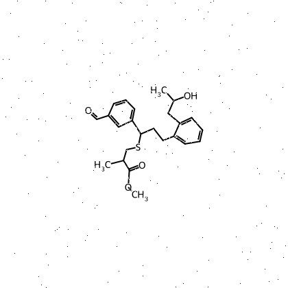 COC(=O)C(C)CSC(CCc1ccccc1CC(C)O)c1cccc(C=O)c1